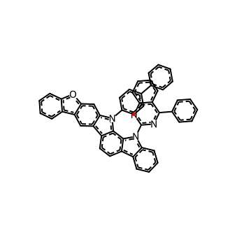 c1ccc(-c2ccc(-n3c4cc5oc6ccccc6c5cc4c4ccc5c6ccccc6n(-c6nc(-c7ccccc7)c7ccccc7n6)c5c43)cc2)cc1